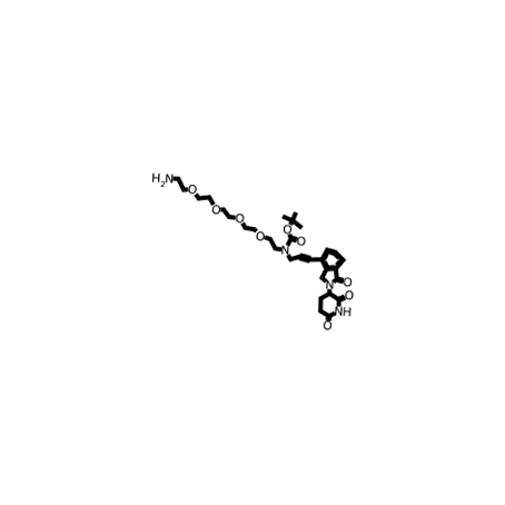 CC(C)(C)OC(=O)N(CC#Cc1cccc2c1CN(C1CCC(=O)NC1=O)C2=O)CCOCCOCCOCCOCCN